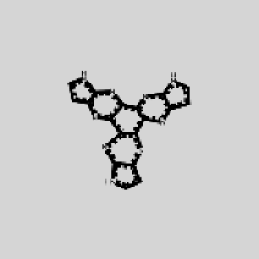 c1cc2nc3c4nc5cc[nH]c5nc4c4nc5[nH]ccc5nc4c3nc2[nH]1